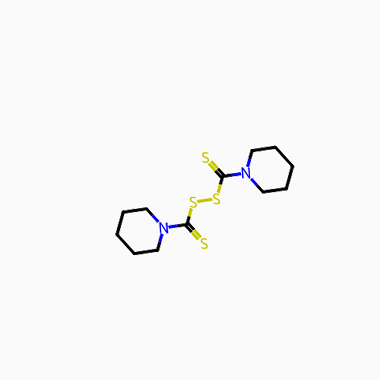 S=C(SSC(=S)N1CCCCC1)N1CCCCC1